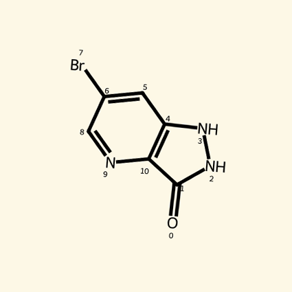 O=c1[nH][nH]c2cc(Br)cnc12